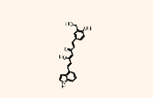 O=C(/C=C(O)/C=C/c1cccc2[nH]ccc12)/C=C/c1ccc(O)c(CO)c1